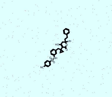 CCCC1(CCc2ccccc2)CC(O)=C(C2(Cc3cccc(NS(=O)(=O)c4ccc(C#N)cc4)c3)CC2)C(=O)O1